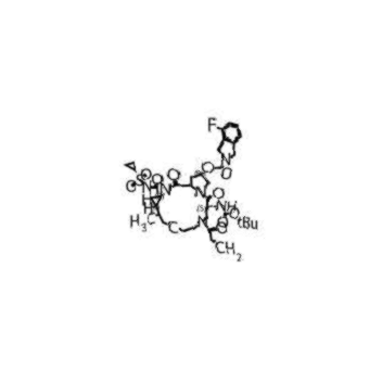 C=CC(=O)N1CCCCC(C)[C@@H]2C[C@@]2(C(=O)NS(=O)(=O)C2CC2)NC(=O)C2C[C@@H](OC(=O)N3Cc4cccc(F)c4C3)CN2C(=O)[C@@H](NC(=O)OC(C)(C)C)C1